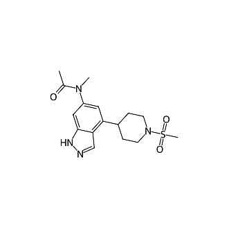 CC(=O)N(C)c1cc(C2CCN(S(C)(=O)=O)CC2)c2cn[nH]c2c1